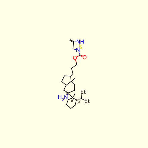 C=C1CN(C(=O)OCCCC2CCC3C[C@@](N)([C@@]4(C)CCCC[C@H]4C(CC)CC)CCC23C)SN1